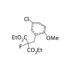 CCOC(=O)C(F)(Cc1cc(Cl)ccc1OC)C(=O)OCC